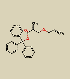 C=CCOCC(=C)C(=O)OC(c1ccccc1)(c1ccccc1)c1ccccc1